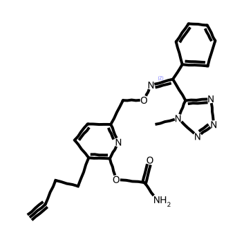 C#CCCc1ccc(CO/N=C(/c2ccccc2)c2nnnn2C)nc1OC(N)=O